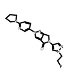 O=C1c2cn(-c3ccc(N4CCCC4)nc3)nc2CN1c1cnn(CCF)c1